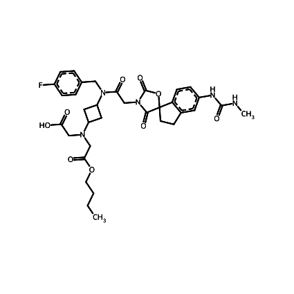 CCCCOC(=O)CN(CC(=O)O)C1CC(N(Cc2ccc(F)cc2)C(=O)CN2C(=O)OC3(CCc4cc(NC(=O)NC)ccc43)C2=O)C1